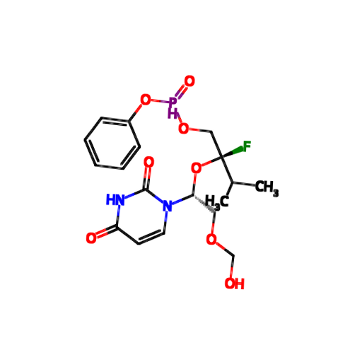 CC(C)[C@@](F)(CO[PH](=O)Oc1ccccc1)O[C@H](COCO)n1ccc(=O)[nH]c1=O